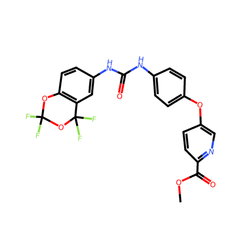 COC(=O)c1ccc(Oc2ccc(NC(=O)Nc3ccc4c(c3)C(F)(F)OC(F)(F)O4)cc2)cn1